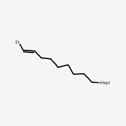 [CH2]CCCCCCCCCCCCCC=CCC